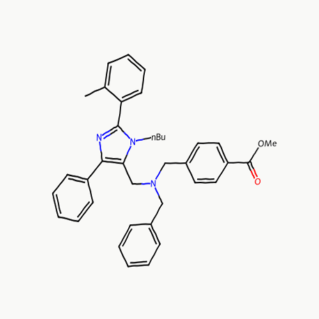 CCCCn1c(-c2ccccc2C)nc(-c2ccccc2)c1CN(Cc1ccccc1)Cc1ccc(C(=O)OC)cc1